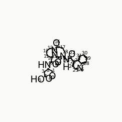 O=CC(CC(=O)O)NC(=O)C1CCCN2C(=O)CCN(NC(=O)c3ccnc4ccccc34)C(=O)N12